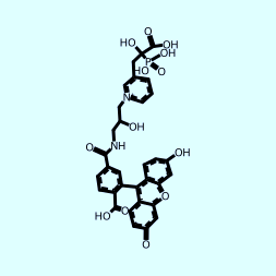 O=C(NCC(O)C[n+]1cccc(CC(O)(C(=O)O)P(=O)(O)O)c1)c1ccc(C(=O)O)c(-c2c3ccc(=O)cc-3oc3cc(O)ccc23)c1